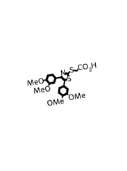 COc1ccc(-c2nc(SCC(=O)O)sc2-c2ccc(OC)c(OC)c2)cc1OC